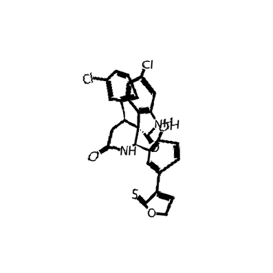 O=C1C[C@@H](c2cccc(Cl)c2)[C@]2(C(=O)Nc3cc(Cl)ccc32)[C@@H](c2cc(C3=CCOC3=S)ccc2O)N1